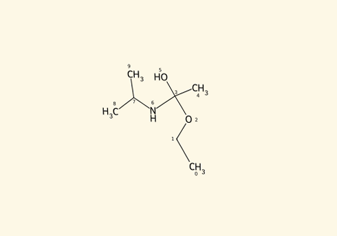 CCOC(C)(O)NC(C)C